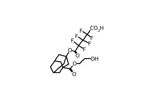 O=C(OCCO)C12CC3CC(CC(OC(=O)C(F)(F)C(F)(F)C(F)(F)C(=O)O)(C3)C1)C2